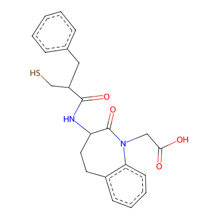 O=C(O)CN1C(=O)C(NC(=O)C(CS)Cc2ccccc2)CCc2ccccc21